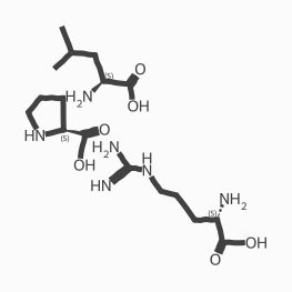 CC(C)C[C@H](N)C(=O)O.N=C(N)NCCC[C@H](N)C(=O)O.O=C(O)[C@@H]1CCCN1